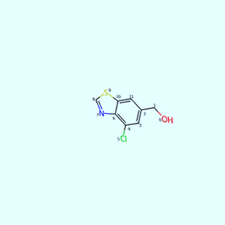 OCc1cc(Cl)c2n[c]sc2c1